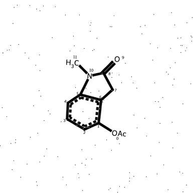 CC(=O)Oc1cccc2c1CC(=O)N2C